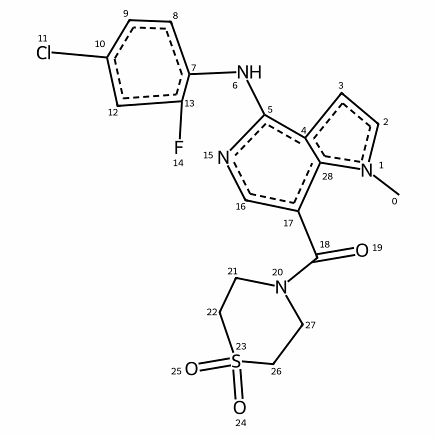 Cn1ccc2c(Nc3ccc(Cl)cc3F)ncc(C(=O)N3CCS(=O)(=O)CC3)c21